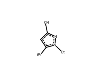 CCn1nc(C#N)cc1C(C)C